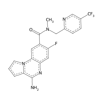 CN(Cc1ccc(C(F)(F)F)cn1)C(=O)c1cc2c(cc1F)nc(N)c1cccn12